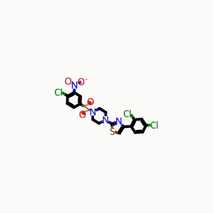 O=[N+]([O-])c1cc(S(=O)(=O)N2CCN(c3nc(-c4ccc(Cl)cc4Cl)cs3)CC2)ccc1Cl